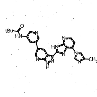 Cc1cn(-c2ccnc3[nH]c(-c4n[nH]c5ncc(-c6cncc(NC(=O)C(C)(C)C)c6)cc45)nc23)cn1